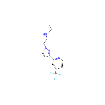 CCNCCn1ccc(-c2cc(C(F)(F)F)ccn2)n1